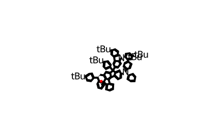 CC(C)(C)c1ccc([C@H](Cc2cc3c(c4c2C(C)(C)c2ccccc2-4)-c2ccc(N(c4ccccc4)c4ccc(C(C)(C)C)cc4)cc2C3(c2ccc(C(C)(C)C)cc2)c2ccc3c(c2)c2cc(C(C)(C)C)ccc2n3-c2ccc(C(C)(C)C)cc2)c2ccccc2)cc1